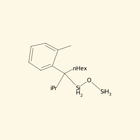 CCCCCCC([SiH2]O[SiH3])(c1ccccc1C)C(C)C